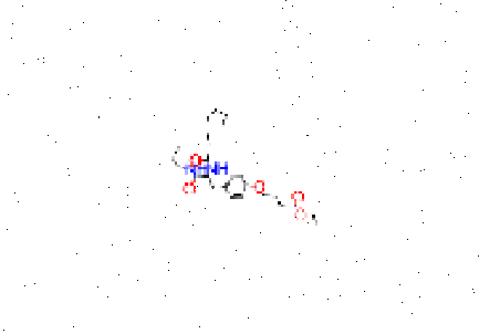 CCOC(=O)CCCOc1ccc(C[C@H](NC(=O)CCC2CCCC2)C(=O)NCC(C)C)cc1